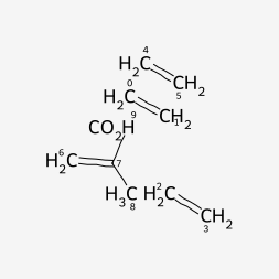 C=C.C=C.C=C.C=C(C)C(=O)O